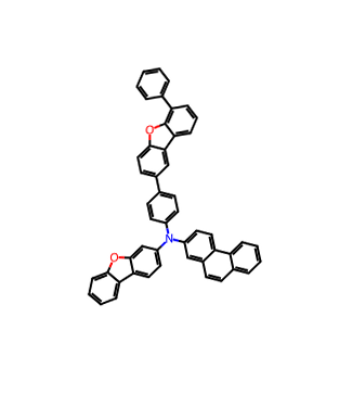 c1ccc(-c2cccc3c2oc2ccc(-c4ccc(N(c5ccc6c(ccc7ccccc76)c5)c5ccc6c(c5)oc5ccccc56)cc4)cc23)cc1